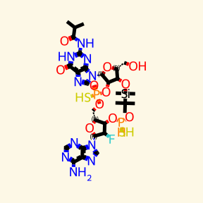 CC(C)C(=O)Nc1nc2c(ncn2[C@@H]2O[C@H](CO)C(O[Si](C)(C)C(C)(C)C)C2OP(=O)(S)OC[C@H]2O[C@@H](n3cnc4c(N)ncnc43)C(F)C2O[PH](=O)S)c(=O)[nH]1